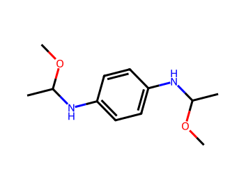 COC(C)Nc1ccc(NC(C)OC)cc1